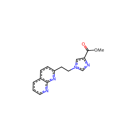 COC(=O)c1cn(CCc2ccc3cccnc3n2)cn1